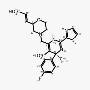 CCOC(=O)C1=C(CN2CCOC(/C=C/C(=O)O)C2)NC(c2nccs2)=N[C@@]1(C)c1ccc(F)cc1